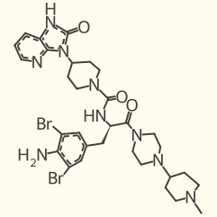 CN1CCC(N2CCN(C(=O)[C@@H](Cc3cc(Br)c(N)c(Br)c3)NC(=O)N3CCC(n4c(=O)[nH]c5cccnc54)CC3)CC2)CC1